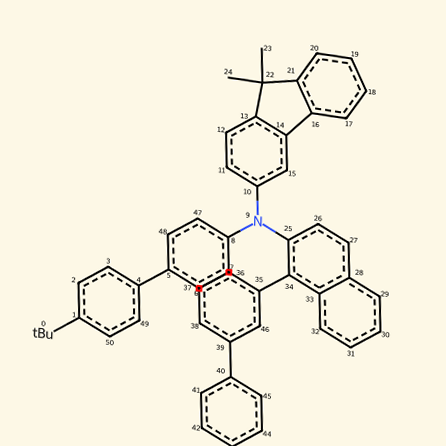 CC(C)(C)c1ccc(-c2ccc(N(c3ccc4c(c3)-c3ccccc3C4(C)C)c3ccc4ccccc4c3-c3cccc(-c4ccccc4)c3)cc2)cc1